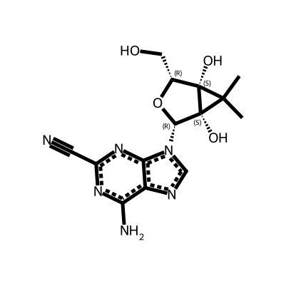 CC1(C)[C@]2(O)[C@@H](CO)O[C@@H](n3cnc4c(N)nc(C#N)nc43)[C@]12O